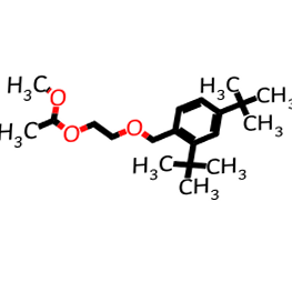 COC(C)OCCOCc1ccc(C(C)(C)C)cc1C(C)(C)C